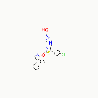 N#Cc1c(-c2ccccc2)ccnc1OCc1nc(CN2CCN(CCO)CC2)c(-c2ccc(Cl)cc2)s1